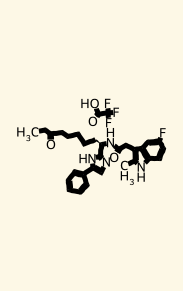 CCC(=O)CCCCC[C@H](NC(=O)Cc1c(C)[nH]c2ccc(F)cc12)c1ncc(-c2ccccc2)[nH]1.O=C(O)C(F)(F)F